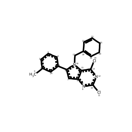 Cc1cccc(-c2cc3nc(Cl)nc(Cl)c3n2CC2=CCCC=C2)c1